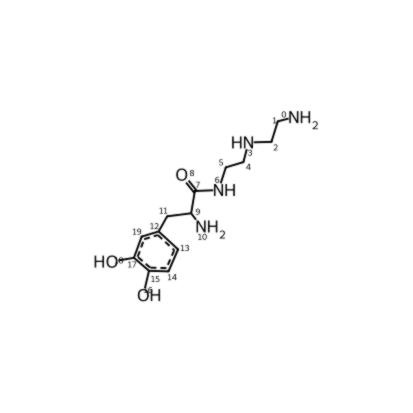 NCCNCCNC(=O)C(N)Cc1ccc(O)c(O)c1